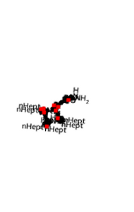 CCCCCCCc1cc2c(cc1CCCCCCC)-c1nc-2nc2[nH]c(nc3nc(nc4[nH]c(n1)c1cc(CCCCCCC)c(CCCCCCC)cc41)-c1cc(CCCCCCC)c(CCCCCCC)cc1-3)c1cc(C#Cc3ccc(CC(=O)NN)cc3)ccc21